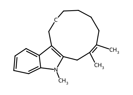 C/C1=C(\C)Cc2c(c3ccccc3n2C)CCCCCC1